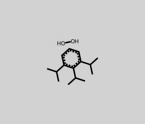 CC(C)c1cccc(C(C)C)c1C(C)C.OO